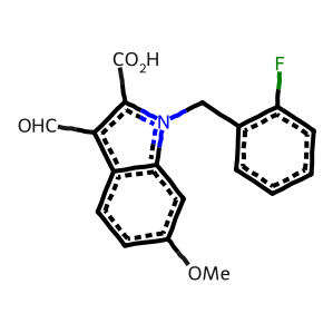 COc1ccc2c(C=O)c(C(=O)O)n(Cc3ccccc3F)c2c1